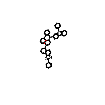 c1ccc(-c2nc3ccc4c(-c5ccc(N(c6ccc7c8ccccc8n(-c8ccccc8)c7c6)c6ccccc6-c6ccccc6)cc5)cccc4c3o2)cc1